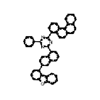 c1ccc(-c2nc(-c3cccc4cc(-c5cccc6oc7ccccc7c56)ccc34)nc(-c3cccc4c3ccc3ccc5ccccc5c34)n2)cc1